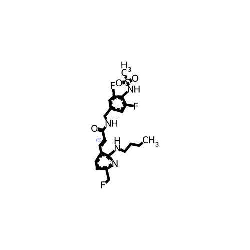 CCCCNc1nc(CF)ccc1/C=C/C(=O)NCc1cc(F)c(NS(C)(=O)=O)c(F)c1